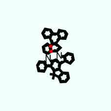 CC1(C)c2ccccc2-c2c1c1c3ccccc3n(-c3ccccc3)c1c1c2c2ccccc2n1-c1ccc2c3ccccc3c3ccccc3c2c1